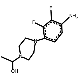 CC(O)N1CCN(c2ccc(N)c(F)c2F)CC1